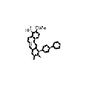 COc1ccc2c(cc[n+]3cc4cc(C)c(C)c(-c5ccc(-c6ccccc6)cc5)c4cc23)c1PC